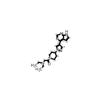 CCN(CC)CC(=O)N1CCC(n2cc(-c3ncnc4[nH]ccc34)cn2)CC1